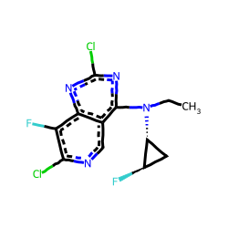 CCN(c1nc(Cl)nc2c(F)c(Cl)ncc12)[C@@H]1C[C@H]1F